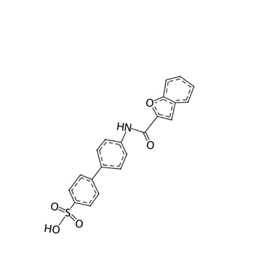 O=C(Nc1ccc(-c2ccc(S(=O)(=O)O)cc2)cc1)c1cc2ccccc2o1